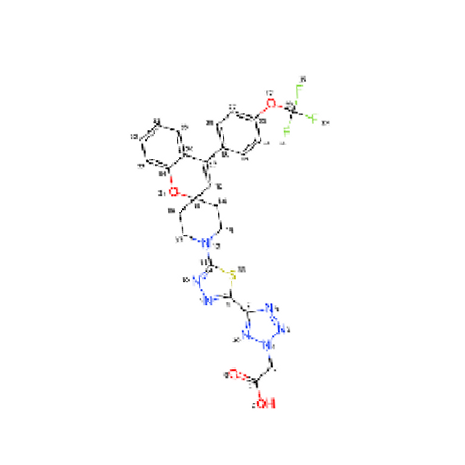 O=C(O)Cn1nnc(-c2nnc(N3CCC4(C=C(c5ccc(OC(F)(F)F)cc5)c5ccccc5O4)CC3)s2)n1